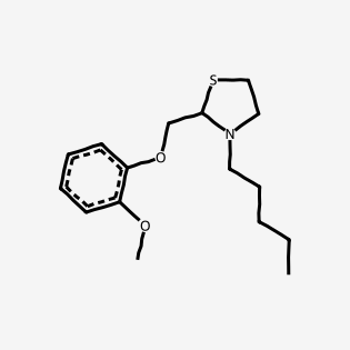 CCCCCN1CCSC1COc1ccccc1OC